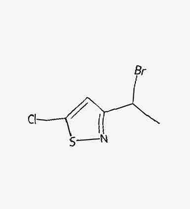 CC(Br)c1cc(Cl)sn1